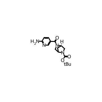 CC(C)(C)OC(=O)N1C[C@H]2CC1CN2C(=O)c1ccc(N)nc1